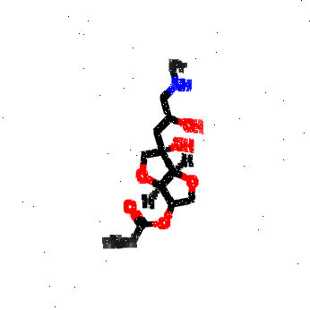 CCCCCCCCCC(=O)O[C@@H]1CO[C@H]2[C@@H]1OC[C@@]2(O)CC(O)CNC(C)C